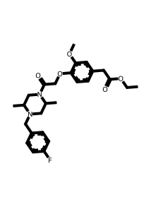 CCOC(=O)Cc1ccc(OCC(=O)N2CC(C)N(Cc3ccc(F)cc3)CC2C)c(OC)c1